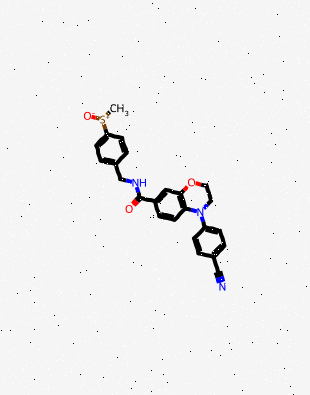 C[S+]([O-])c1ccc(CNC(=O)c2ccc3c(c2)OCCN3c2ccc(C#N)cc2)cc1